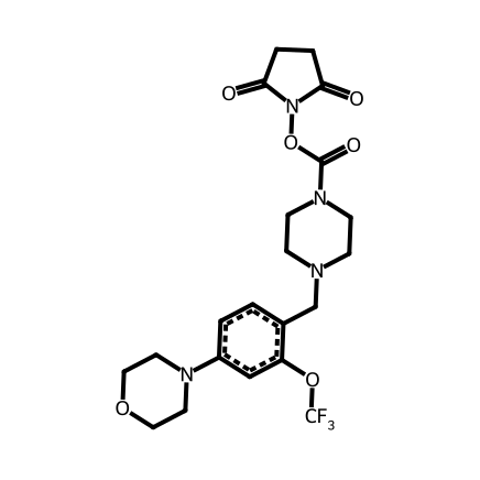 O=C(ON1C(=O)CCC1=O)N1CCN(Cc2ccc(N3CCOCC3)cc2OC(F)(F)F)CC1